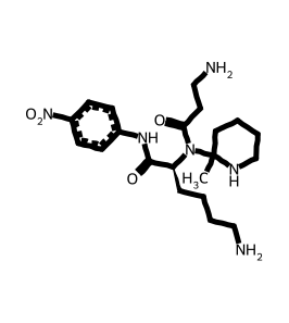 CC1(N(C(=O)CCN)[C@@H](CCCCN)C(=O)Nc2ccc([N+](=O)[O-])cc2)CCCCN1